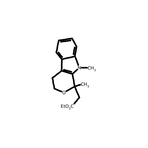 CCOC(=O)CC1(C)OCCc2c1n(C)c1ccccc21